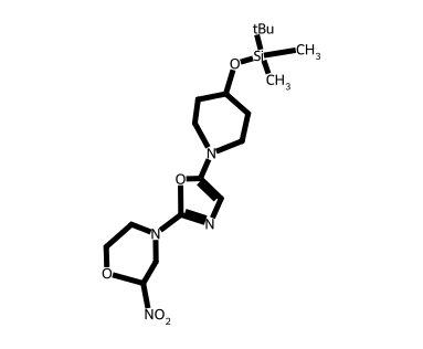 CC(C)(C)[Si](C)(C)OC1CCN(c2cnc(N3CCOC([N+](=O)[O-])C3)o2)CC1